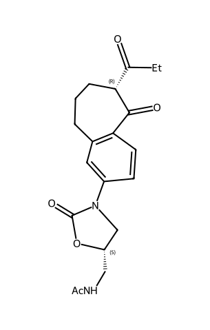 CCC(=O)[C@H]1CCCc2cc(N3C[C@H](CNC(C)=O)OC3=O)ccc2C1=O